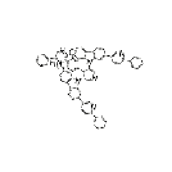 Cc1cccc(-c2c(-n3c4cc(C)ccc4c4ccc(-c5ccc(-c6ccccc6)nc5)cc43)cncc2-n2c3cc(-c4ccc(-c5ccccc5)nc4)ccc3c3ccc(-c4ccc(-c5ccccc5)nc4)cc32)c1